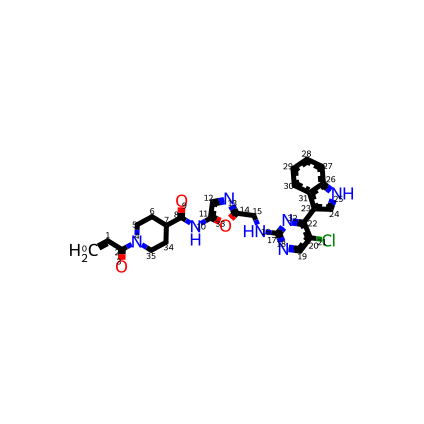 C=CC(=O)N1CCC(C(=O)Nc2cnc(CNc3ncc(Cl)c(-c4c[nH]c5ccccc45)n3)o2)CC1